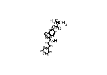 CN(C)C(=O)Oc1ccc2c([AsH]CCN3CCOCC3)noc2c1